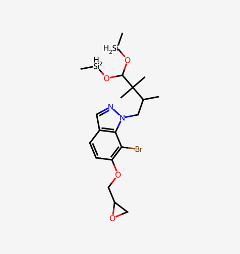 C[SiH2]OC(O[SiH2]C)C(C)(C)C(C)Cn1ncc2ccc(OCC3CO3)c(Br)c21